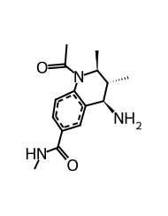 CNC(=O)c1ccc2c(c1)[C@H](N)[C@@H](C)[C@H](C)N2C(C)=O